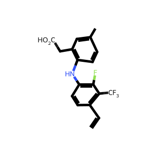 C=Cc1ccc(Nc2ccc(C)cc2CC(=O)O)c(F)c1C(F)(F)F